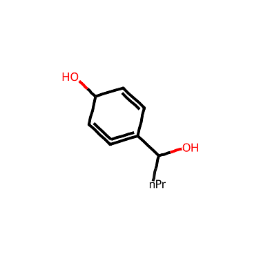 CCCC(O)C1=C=CC(O)C=C1